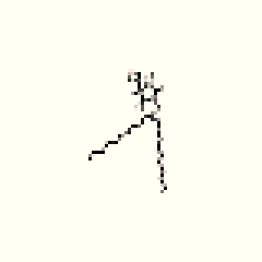 CCCCCCCCCCN(CCCCCCCCCC)CN1C(=O)NC(C)(C2CCC2)C1=O